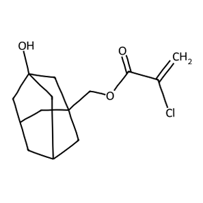 C=C(Cl)C(=O)OCC12CC3CC(CC(O)(C3)C1)C2